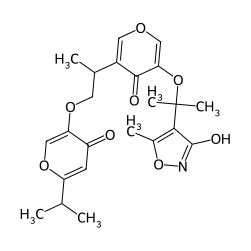 Cc1onc(O)c1C(C)(C)Oc1cocc(C(C)COc2coc(C(C)C)cc2=O)c1=O